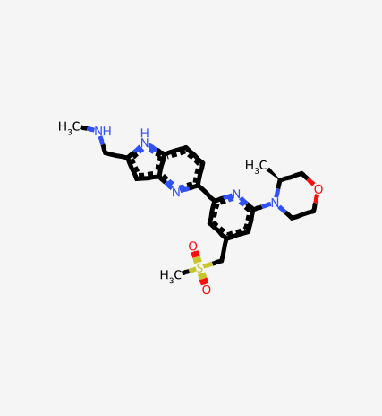 CNCc1cc2nc(-c3cc(CS(C)(=O)=O)cc(N4CCOC[C@@H]4C)n3)ccc2[nH]1